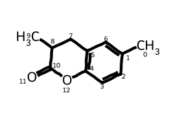 Cc1ccc2c(c1)CC(C)C(=O)O2